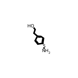 NSc1ccc(CCO)cc1